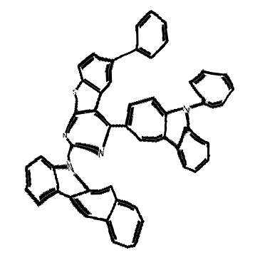 c1ccc(-c2ccc3sc4nc(-n5c6ccccc6c6cc7ccccc7cc65)nc(-c5ccc6c(c5)c5ccccc5n6-c5ccccc5)c4c3c2)cc1